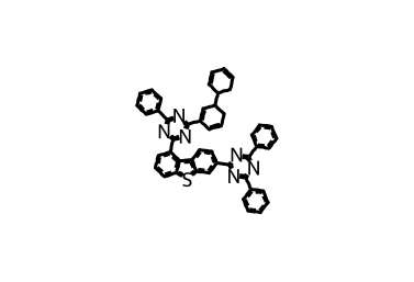 C1=CCC(C2C=C(c3nc(-c4ccccc4)nc(-c4cccc5sc6cc(-c7nc(-c8ccccc8)nc(-c8ccccc8)n7)ccc6c45)n3)C=CC2)C=C1